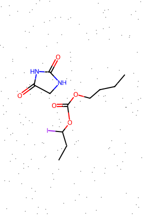 CCCCOC(=O)OC(I)CC.O=C1CNC(=O)N1